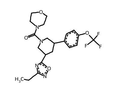 CCc1noc(C2CC(c3ccc(OC(F)(F)F)cc3)CN(C(=O)N3CCOCC3)C2)n1